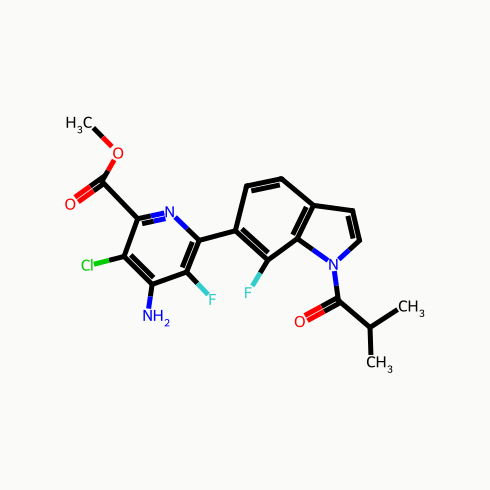 COC(=O)c1nc(-c2ccc3ccn(C(=O)C(C)C)c3c2F)c(F)c(N)c1Cl